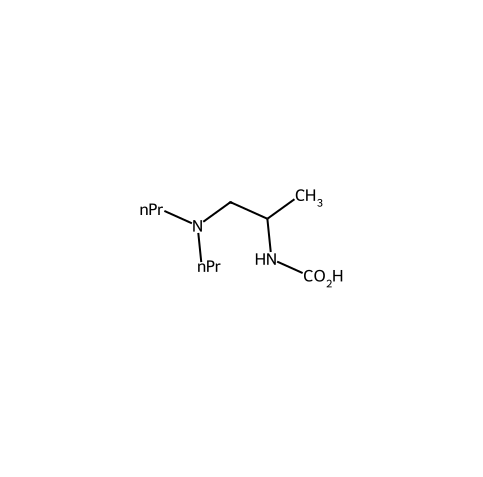 CCCN(CCC)CC(C)NC(=O)O